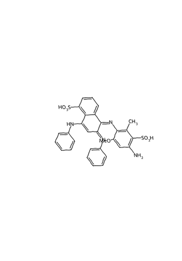 COc1cc(N)c(S(=O)(=O)O)c(C)c1/N=C1\C(=N\c2ccccc2)C=C(Nc2ccccc2)c2c1cccc2S(=O)(=O)O